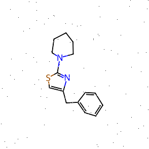 c1ccc(Cc2csc(N3CCCCC3)n2)cc1